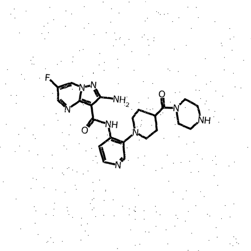 Nc1nn2cc(F)cnc2c1C(=O)Nc1ccncc1N1CCC(C(=O)N2CCNCC2)CC1